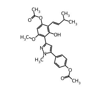 COc1cc(OC(C)=O)c(C=CC(C)C)c(O)c1-c1cc(-c2ccc(OC(C)=O)cc2)n(C)n1